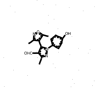 Cc1nn(-c2ccc(O)cc2)c(-c2c(C)noc2C)c1C=O